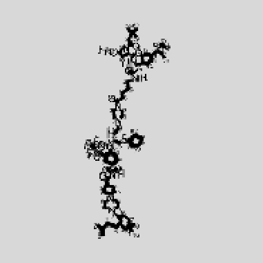 C=C(C)CCC1=C(CN2CCN(c3ccc(C(=O)NS(=O)(=O)c4ccc(N[C@H](CCN5CCN(C(=O)CCCCNC(=O)C[C@H](NC(=O)[C@@H]6C[C@@H](O)CN6C(=O)CC(C)(C)C)c6ccc(-c7scnc7C)cc6)CC5)CSc5ccccc5)c(S(=O)(=O)C(F)(F)F)c4)cc3)CC2)CCC(C)(C)C1